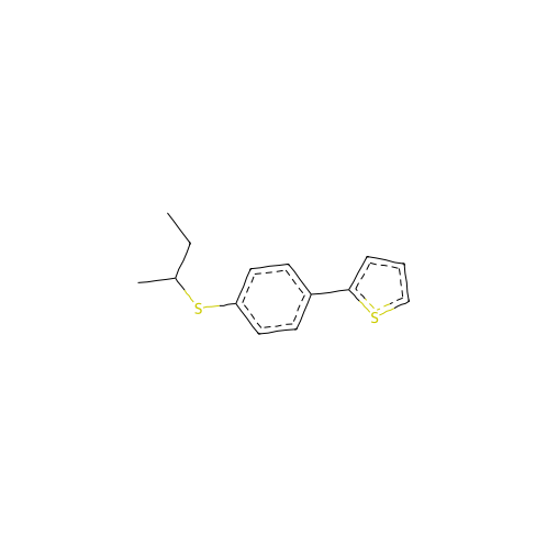 CCC(C)Sc1ccc(-c2cccs2)cc1